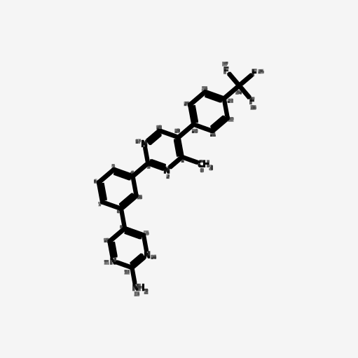 Cc1nc(-c2cccc(-c3cnc(N)nc3)c2)ncc1-c1ccc(C(F)(F)F)cc1